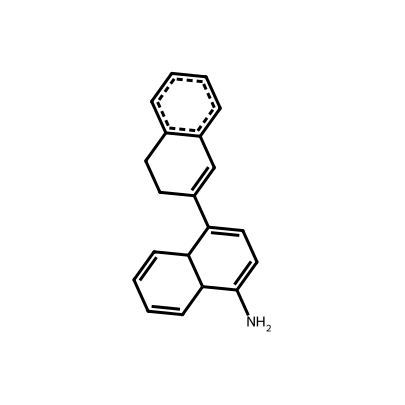 NC1=CC=C(C2=Cc3ccccc3CC2)C2C=CC=CC12